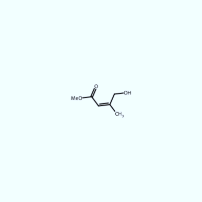 COC(=O)C=C(C)CO